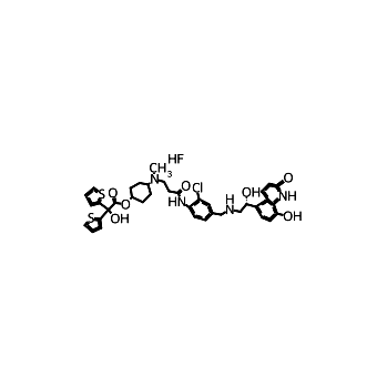 CN(CCC(=O)Nc1ccc(CNC[C@H](O)c2ccc(O)c3[nH]c(=O)ccc23)cc1Cl)[C@H]1CC[C@H](OC(=O)C(O)(c2cccs2)c2cccs2)CC1.F